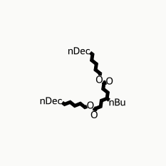 CCCCCCCCCCCCCCCOC(=O)CCC(CCCC)CCC(=O)OCCCCCCCCCCCCCCC